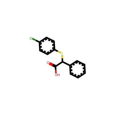 O=C(O)C(Sc1ccc(Cl)cc1)c1ccccc1